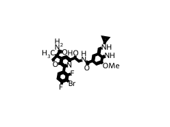 COC1=CC(C(=O)NCC(O)c2cc3c(c(-c4ccc(F)c(Br)c4F)n2)OC[C@]3(C)C(N)=O)=C/C(=C/NC2CC2)C1=N